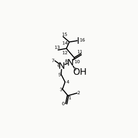 C=C(C)CCCN(C)N(O)C(=C)C(C)C(C)I